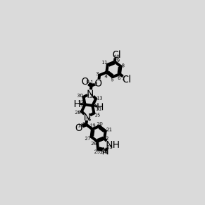 O=C(OCc1cc(Cl)cc(Cl)c1)N1C[C@@H]2CN(C(=O)c3ccc4[nH]ncc4c3)C[C@@H]2C1